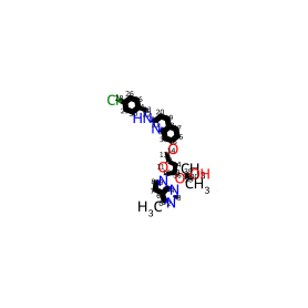 Cc1ncnc2c1ccn2C1OC(COc2ccc3ccc(NCc4ccc(Cl)cc4)nc3c2)C[C@H]1OC(C)(C)O